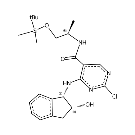 C[C@H](CO[Si](C)(C)C(C)(C)C)NC(=O)c1cnc(Cl)nc1N[C@H]1c2ccccc2C[C@H]1O